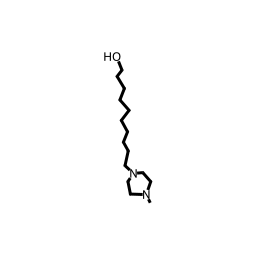 CN1CCN(CCCCCCCCCCO)CC1